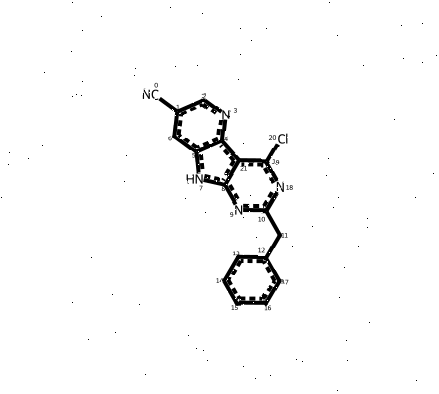 N#Cc1cnc2c(c1)[nH]c1nc(Cc3ccccc3)nc(Cl)c12